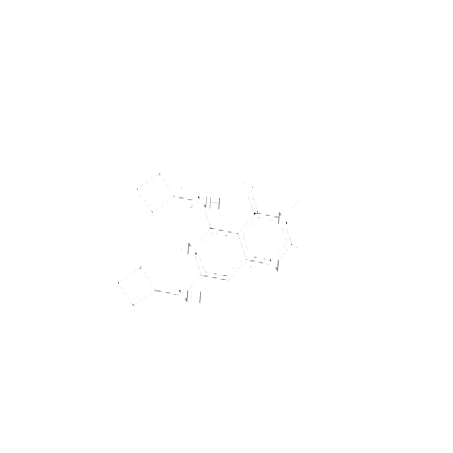 Cn1cnc2cc(NC3CCC3)nc(NC3CCC3)c2c1=O